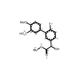 COc1ccc(-c2cc(C(O)C(=O)OC(C)(C)C)ccc2F)cc1C(=O)O